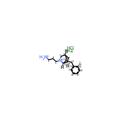 Cl.Cl.NCCCN1C[C@@H]2CC[C@H]1[C@H](Cc1ccccc1F)C2